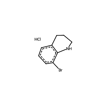 Brc1cccc2c1NCCC2.Cl